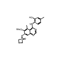 COc1c(N=S2(=O)CCC2)cc2ncnc(Nc3ccc(C)cc3O)c2c1C